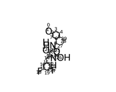 COc1ccc2c(c1)C(NC[C@@H](O)[C@H](Cc1cc(F)cc(F)c1)NC(=O)O)CCC2